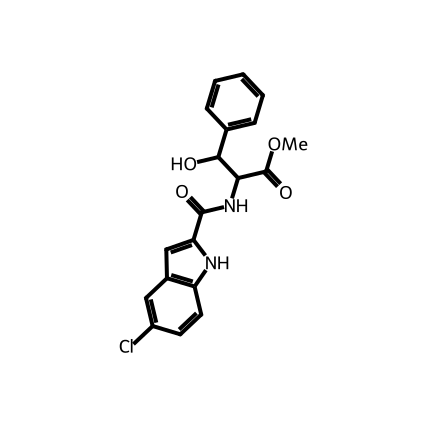 COC(=O)C(NC(=O)c1cc2cc(Cl)ccc2[nH]1)C(O)c1ccccc1